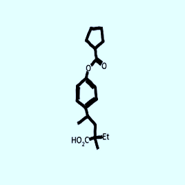 CCC(C)(CC(C)c1ccc(OC(=O)C2CCCC2)cc1)C(=O)O